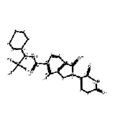 O=C1CCC(N2Cc3c(ccc(C(=O)N[C@H](C4CCCCC4)C(F)(F)F)c3F)C2=O)C(=O)N1